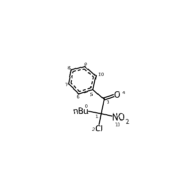 CCCCC(Cl)(C(=O)c1ccccc1)[N+](=O)[O-]